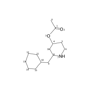 CC(=O)OC1CCNC(CC2CCCCC2)C1